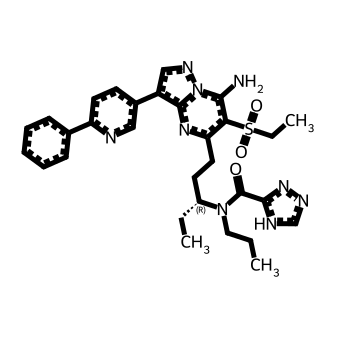 CCCN(C(=O)c1nnc[nH]1)[C@H](CC)CCc1nc2c(-c3ccc(-c4ccccc4)nc3)cnn2c(N)c1S(=O)(=O)CC